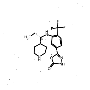 CC[C@H](Nc1cc(-c2n[nH]c(=O)o2)ccc1C(F)(F)F)C1CCNCC1